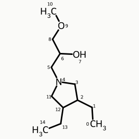 CCC1CN(CC(O)COC)CC1CC